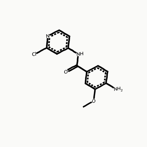 COc1cc(C(=O)Nc2ccnc(Cl)c2)ccc1N